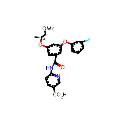 COC[C@H](C)Oc1cc(Oc2cccc(F)c2)cc(C(=O)Nc2ccc(C(=O)O)cn2)c1